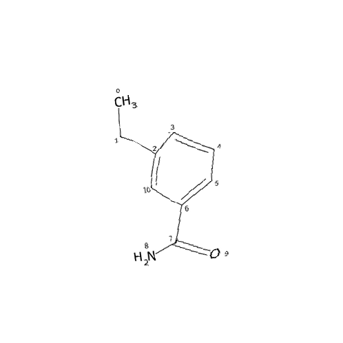 CCc1[c]ccc(C(N)=O)c1